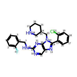 Fc1ccccc1CNc1ncc2nc(-c3ccccc3Cl)n(C[C@@H]3CCCNC3)c2n1